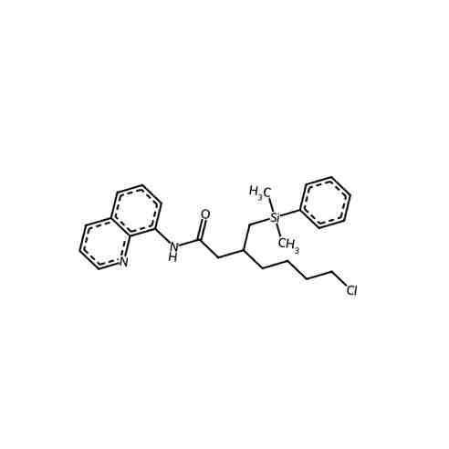 C[Si](C)(CC(CCCCCl)CC(=O)Nc1cccc2cccnc12)c1ccccc1